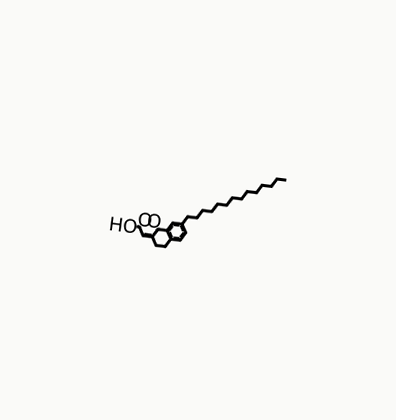 CCCCCCCCCCCCCCc1ccc2c(c1)C(=O)C(=CC(=O)O)CC2